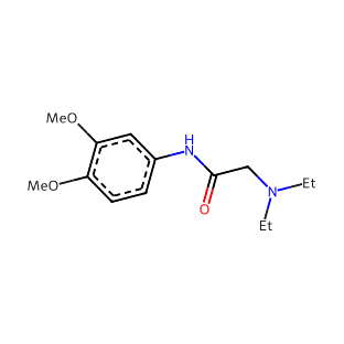 CCN(CC)CC(=O)Nc1ccc(OC)c(OC)c1